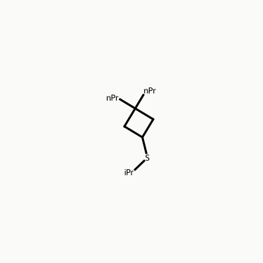 CCCC1(CCC)CC(SC(C)C)C1